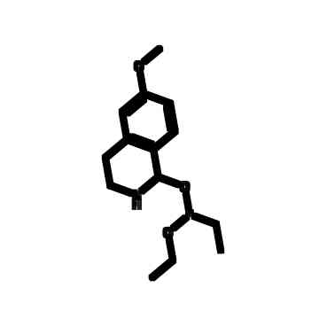 CCOP(CC)OC1NCCc2cc(OC)ccc21